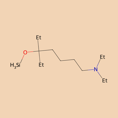 CCN(CC)CCCCC(CC)(CC)O[SiH3]